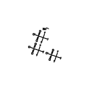 O=S(=O)([O-])C(F)(F)F.O=S(=O)([O-])C(F)(F)F.O=S(=O)([O-])C(F)(F)F.[Nd+3]